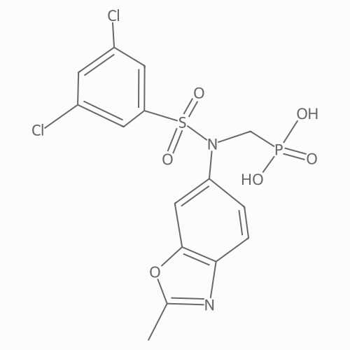 Cc1nc2ccc(N(CP(=O)(O)O)S(=O)(=O)c3cc(Cl)cc(Cl)c3)cc2o1